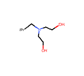 CC(C)CN(CCO)CCO